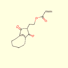 C=CC(=O)OCCC1C(=O)C2=C(CCCC2)C1=O